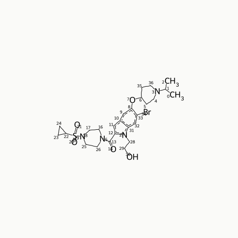 CC(C)N1CCC(Oc2cc3cc(C(=O)N4CCN(S(=O)(=O)C5CC5)CC4)n(CCO)c3cc2Br)CC1